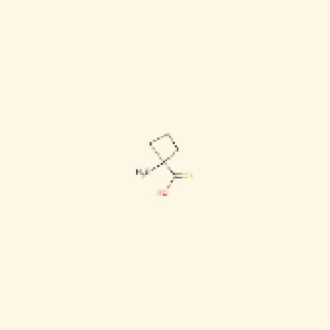 OC(=S)C1([SiH3])CCC1